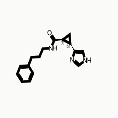 O=C(NCCCc1ccccc1)[C@H]1C[C@@H]1c1c[nH]cn1